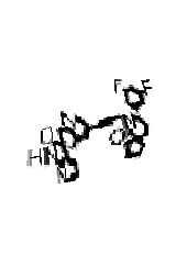 O=C1N(CC#Cc2cnc3c(c2)C[C@@]2(C3)C(=O)Nc3ncccc32)[C@H](c2cc(F)cc(F)c2)CCC12CCCC2